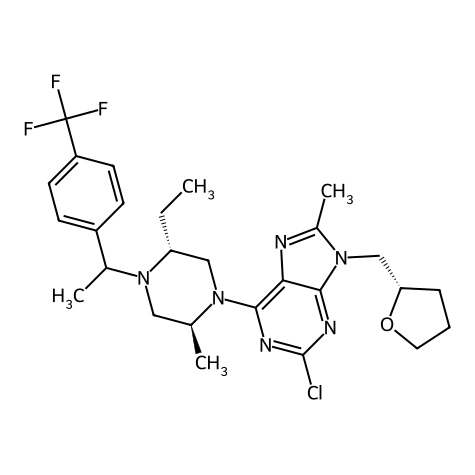 CC[C@@H]1CN(c2nc(Cl)nc3c2nc(C)n3C[C@@H]2CCCO2)[C@@H](C)CN1C(C)c1ccc(C(F)(F)F)cc1